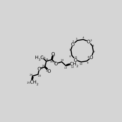 C1COCCOCCOCCO1.C=CCOC(=O)C(C)C(=O)OCC=C